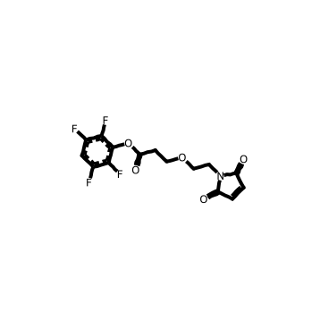 O=C(CCOCCN1C(=O)C=CC1=O)Oc1c(F)c(F)cc(F)c1F